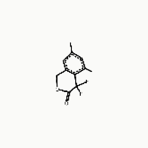 Cc1cc(C)c2c(c1)COC(=O)C2(F)F